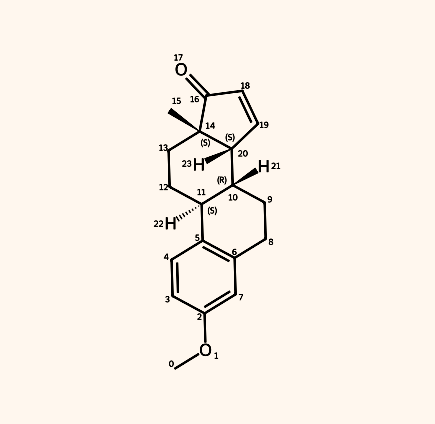 COc1ccc2c(c1)CC[C@@H]1[C@@H]2CC[C@]2(C)C(=O)C=C[C@H]12